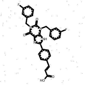 O=C(O)/C=C/c1ccc(-c2nc3c(=O)n(Cc4cccc(F)c4)c(=O)n(Cc4cccc(F)c4)c3[nH]2)cc1